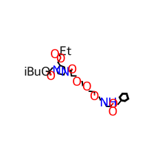 CCC(=O)OCC1CN(C(=O)CCOCCOCCOCCNCC(=O)OCc2ccccc2)CCN1CC(=O)OCC(C)C